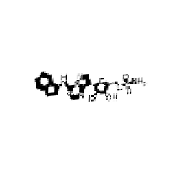 NS(=O)(=O)OC[C@H]1O[C@@H](c2cnn3c(N[C@H]4CCc5ccccc54)ncnc23)[C@H](O)[C@@H]1O